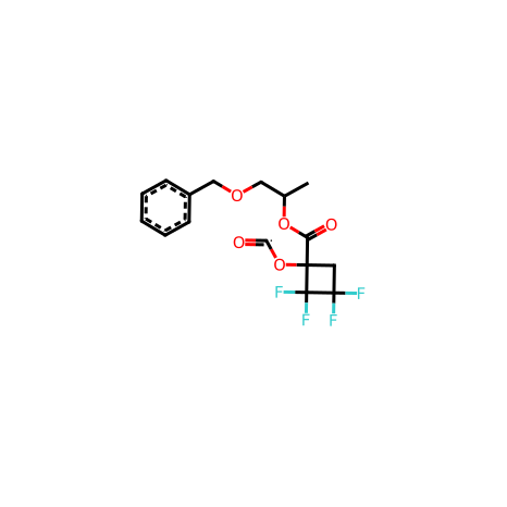 CC(COCc1ccccc1)OC(=O)C1(O[C]=O)CC(F)(F)C1(F)F